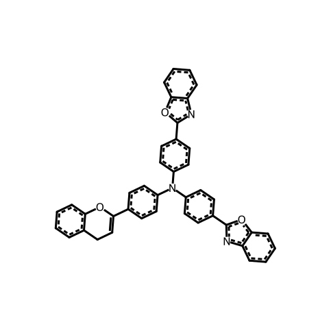 C1=C(c2ccc(N(c3ccc(-c4nc5ccccc5o4)cc3)c3ccc(-c4nc5ccccc5o4)cc3)cc2)Oc2ccccc2C1